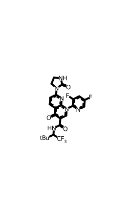 CC(C)(C)C(NC(=O)c1cn(-c2ncc(F)cc2F)c2nc(N3CCNC3=O)ccc2c1=O)C(F)(F)F